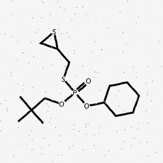 CC(C)(C)COP(=O)(OC1CCCCC1)SCC1CS1